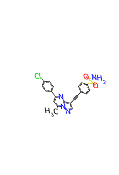 Cc1cc(-c2ccc(Cl)cc2)nc2c(C#Cc3ccc(S(N)(=O)=O)cc3)cnn12